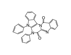 O=c1c2nc3ccccc3c(=O)n2c2c3ccccc3n(-c3ccccc3)c2n1-c1ccccc1